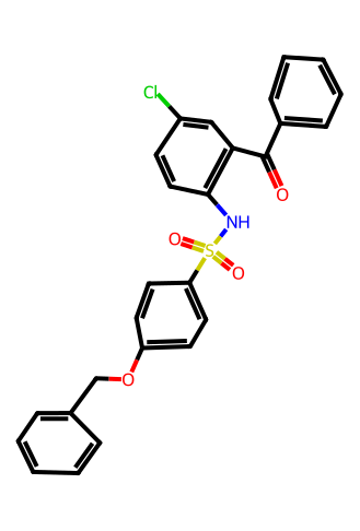 O=C(c1ccccc1)c1cc(Cl)ccc1NS(=O)(=O)c1ccc(OCc2ccccc2)cc1